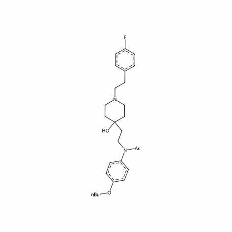 CCCCOc1ccc(N(CCC2(O)CCN(CCc3ccc(F)cc3)CC2)C(C)=O)cc1